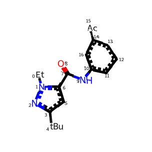 CCn1nc(C(C)(C)C)cc1C(=O)Nc1cccc(C(C)=O)c1